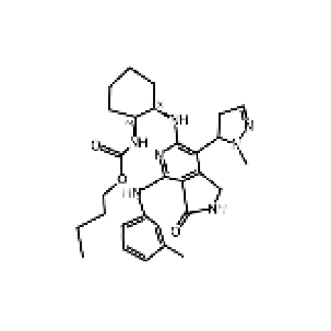 CCCCOC(=O)N[C@H]1CCCC[C@H]1Nc1nc(Nc2cccc(C)c2)c2c(c1C1CC=NN1C)CNC2=O